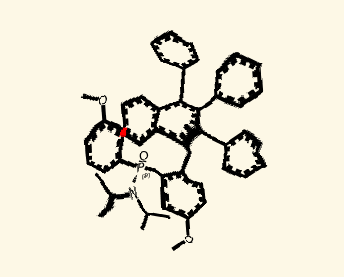 COc1cccc([P@@](=O)(c2cc(OC)ccc2-c2c(-c3ccccc3)c(-c3ccccc3)c(-c3ccccc3)c3ccccc23)N(C(C)C)C(C)C)c1